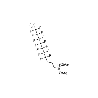 CO[SiH](CCCC(F)(F)C(F)(F)C(F)(F)C(F)(F)C(F)(F)C(F)(F)C(F)(F)C(F)(F)F)OC